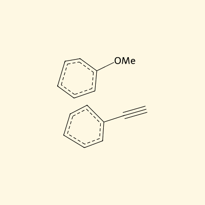 C#Cc1ccccc1.COc1ccccc1